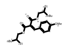 CCCCC(CC)COC(=O)C(=Cc1ccc(OC)cc1)C(=O)OCC(CC)CCCC